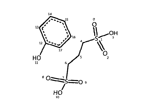 O=S(=O)(O)CCCS(=O)(=O)O.Oc1ccccc1